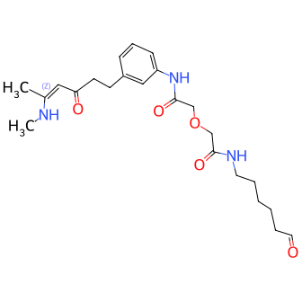 CN/C(C)=C\C(=O)CCc1cccc(NC(=O)COCC(=O)NCCCCCC=O)c1